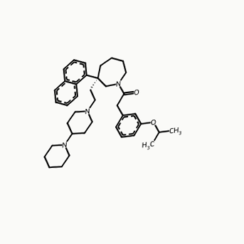 CC(C)Oc1cccc(CC(=O)N2CCCC[C@](CCN3CCC(N4CCCCC4)CC3)(c3cccc4ccccc34)C2)c1